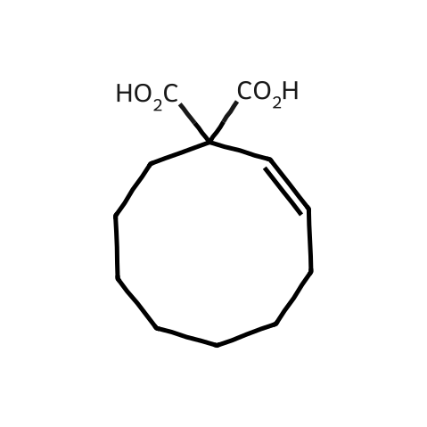 O=C(O)C1(C(=O)O)C=CCCCCCCC1